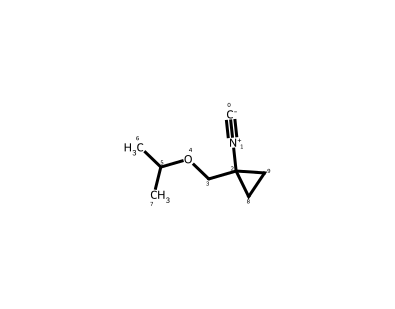 [C-]#[N+]C1(COC(C)C)CC1